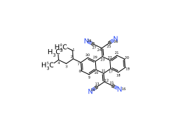 CCC(CC(C)C)c1ccc2c(=C(C#N)C#N)c3ccccc3c(=C(C#N)C#N)c2c1